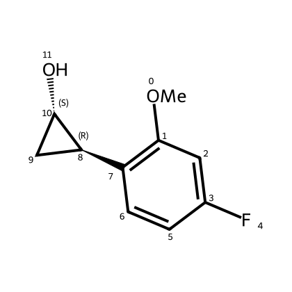 COc1cc(F)ccc1[C@H]1C[C@@H]1O